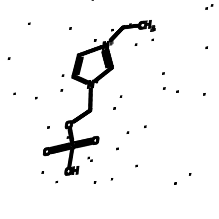 CC[n+]1ccn(COS(=O)(=O)O)c1